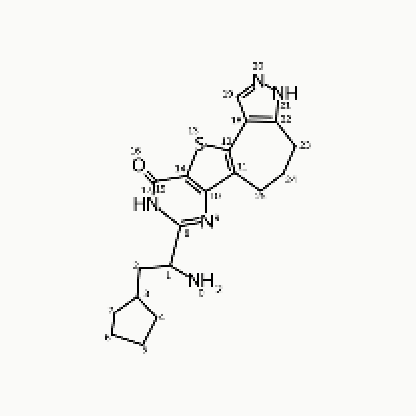 NC(CC1CCCC1)c1nc2c3c(sc2c(=O)[nH]1)-c1cn[nH]c1CCC3